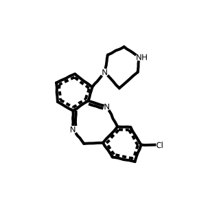 Clc1ccc2c(c1)N=c1c(N3CCNCC3)cccc1=NC2